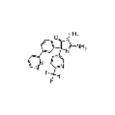 CN1C(=O)C(c2ccc(C(F)(F)F)nc2)(c2cccc(-c3cccnn3)c2)N=C1N